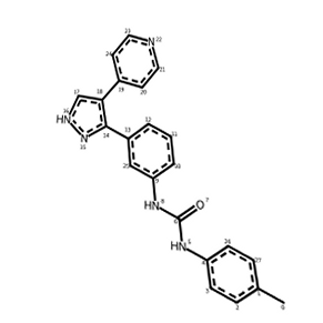 Cc1ccc(NC(=O)Nc2cccc(-c3n[nH]cc3-c3ccncc3)c2)cc1